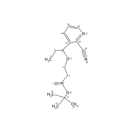 CCC(OCCC(=O)OC(C)(C)C)c1cccnc1C#N